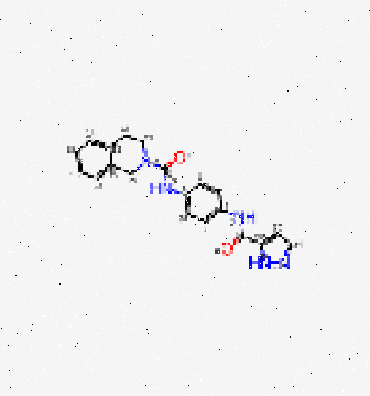 O=C(Nc1ccc(NC(=O)N2CCc3ccccc3C2)cc1)c1ccn[nH]1